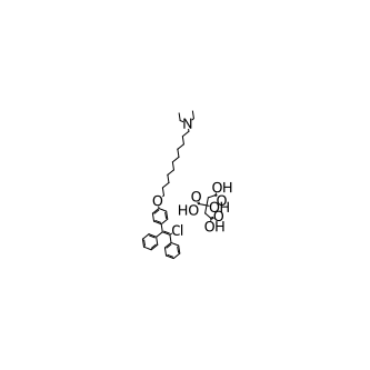 CCN(CC)CCCCCCCCCCCOc1ccc(C(=C(Cl)c2ccccc2)c2ccccc2)cc1.O=C(O)CC(O)(CC(=O)O)C(=O)O